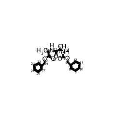 C[C@@H](NC(=O)OCc1ccccc1)C(=O)N[C@H](C)C(=O)OCc1ccccc1